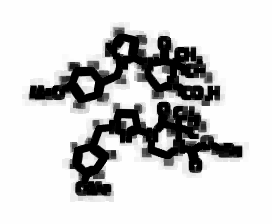 COc1ccc(Cn2ccc(N3CCN(C(=O)OC(C)(C)C)C(C)(C)C3=O)n2)cc1.COc1ccc(Cn2nccc2N2CCN(C(=O)O)C(C)(C)C2=O)cc1